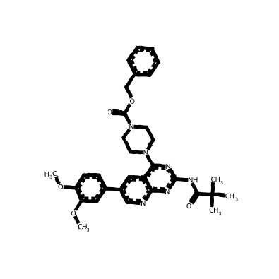 COc1ccc(-c2cnc3nc(NC(=O)C(C)(C)C)nc(N4CCN(C(=O)OCc5ccccc5)CC4)c3c2)cc1OC